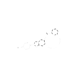 CC(C)C1CCC(n2cc3cc4c(cc3n2)OCCOCCOc2cccc(n2)C(=O)N4)CC1